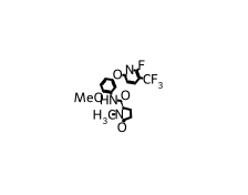 COc1ccc(Oc2ccc(C(F)(F)F)c(F)n2)cc1NC(=O)[C@H]1CCC(=O)N1C